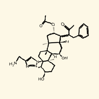 CC(=O)O[C@H]1C[C@@]2(C)[C@@H](C[C@@H](O)[C@@H]3[C@]2(C)CC[C@@]2(n4cc(CN)nn4)[C@H](C)[C@H](O)CC[C@]32C)/C1=C(\Cc1ccccc1)C(C)=O